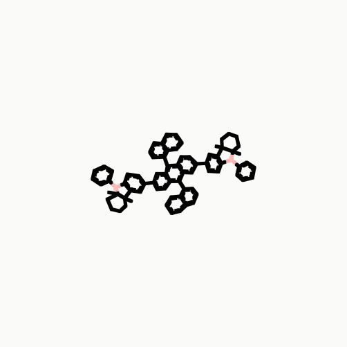 CC12CCCCC1(C)c1cc(-c3ccc4c(-c5cccc6ccccc56)c5cc(-c6ccc7c(c6)C6(C)CCCCC6(C)B7c6ccccc6)ccc5c(-c5cccc6ccccc56)c4c3)ccc1B2c1ccccc1